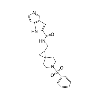 O=C(NCC1CC12CCN(S(=O)(=O)c1ccccc1)CC2)c1cc2cnccc2[nH]1